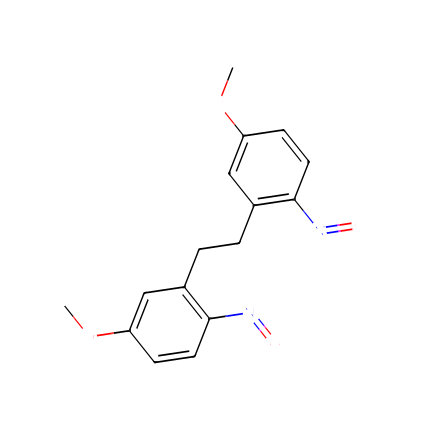 COc1ccc(N=O)c(CCc2cc(OC)ccc2N=O)c1